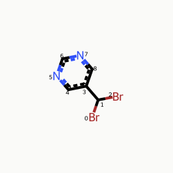 BrC(Br)c1cncnc1